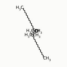 CCCCCCCCCCCCCCCCCC[N+](C)(C)CC[N+](C)(C)CCCCCCCCCCCCCCCCCC.[Cl-].[Cl-]